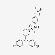 O=S(=O)(Nc1ccc(OC(F)(F)F)cc1)N1CCCC(=C(c2ccc(F)cc2)c2ccc(F)cc2)C1